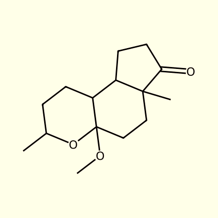 COC12CCC3(C)C(=O)CCC3C1CCC(C)O2